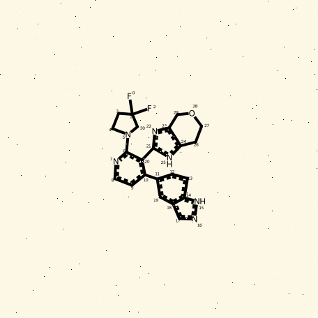 FC1(F)CCN(c2nccc(-c3ccc4[nH]ncc4c3)c2-c2nc3c([nH]2)CCOC3)C1